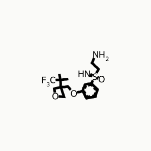 CC(C)(C(F)(F)F)C1(COc2cccc(S(=N)(=O)CCN)c2)COC1